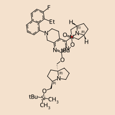 CCc1c(F)ccc2cccc(N3CCc4c(nc(OC[C@]56CCCN5[C@@H](CO[Si](C)(C)C(C)(C)C)CC6)nc4N4C[C@H]5CC[C@@H](C4)N5C(=O)OC(C)(C)C)C3)c12